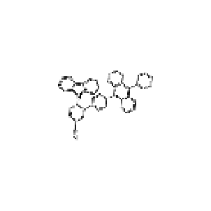 N#Cc1ccc(-n2c3ccccc3c3ccccc32)c(-c2ccc(-c3c4ccccc4c(-c4ccccc4)c4ccccc34)cc2)c1